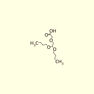 CCCCOC(COCC(=O)O)OCCCC